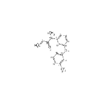 C=CC(=O)N(C)c1cccc(Oc2cccc(C(F)(F)F)c2)c1